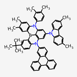 Cc1ccc2c(c1)c1cc(C)ccc1n2-c1cc2c3c(c1)N(c1ccc(C)c(C)c1)c1cc(C)c(C)cc1B3c1cc(C(C)(C)C)ccc1N2c1ccc2c3ccccc3c3ccccc3c2c1